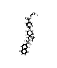 CCOC(=O)c1cnc(N2CCC(O)(CNS(=O)(=O)c3ccc4ccccc4c3)CC2)nc1